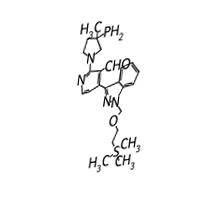 CC1(P)CCN(c2nccc(-c3nn(COCCS(C)(C)C)c4ccccc34)c2C=O)C1